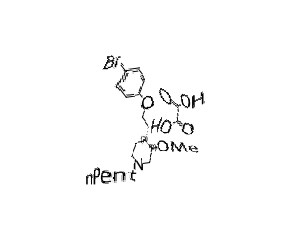 CCCCCN1CC[C@H](CCOc2ccc(Br)cc2)[C@@H](OC)C1.O=C(O)C(=O)O